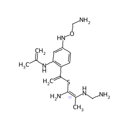 C=C(C)Nc1cc(NOCN)ccc1C(=C)S/C(N)=C(/C)NCN